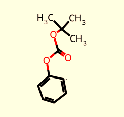 CC(C)(C)OC(=O)Oc1[c]cccc1